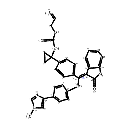 C=CCOC(=O)NC1(c2ccc(/C(Nc3ccc(-c4cn(C)cn4)cc3)=C3/C(=O)Oc4ccccc43)cc2)CC1